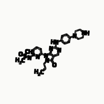 C=CCn1c(=O)c2cnc(Nc3ccc(N4CCNCC4)cc3)nc2n1-c1cccc(N=S(C)(C)=O)n1